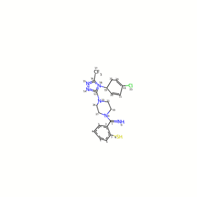 N=C(c1ccccc1S)N1CCN(c2nnc(C(F)(F)F)n2C2C=CC(Cl)=CC2)CC1